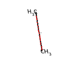 CCCCCCCCCCCCCCCCCCCCCCCC[CH]CCCCCCCCCCCCCCCCCCCCCCCCCCC